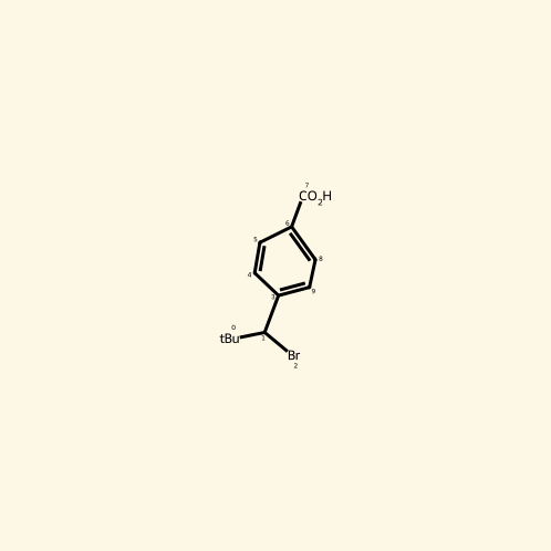 CC(C)(C)C(Br)c1ccc(C(=O)O)cc1